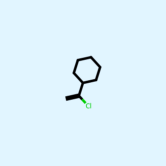 C=C(Cl)C1CCCCC1